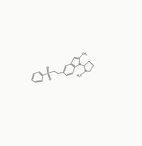 Cc1cc2cc(CCS(=O)(=O)c3ccccc3)ccc2n1C1CCCN1C